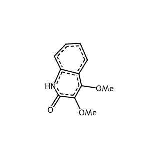 COc1c(OC)c2ccccc2[nH]c1=O